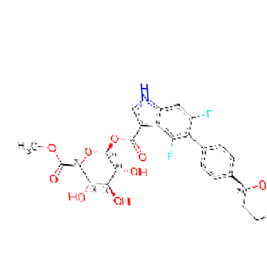 COC(=O)[C@H]1O[C@@H](OC(=O)c2c[nH]c3cc(F)c(-c4ccc([C@@H]5CCCCO5)cc4)c(F)c23)[C@H](O)[C@@H](O)[C@@H]1O